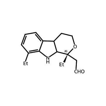 CCc1cccc2c1NC1C2CCO[C@]1(CC)CC=O